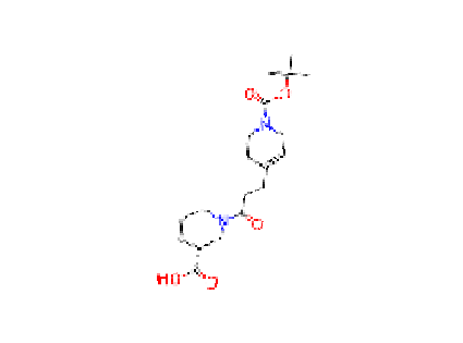 CC(C)(C)OC(=O)N1CC=C(CCC(=O)N2CCC[C@@H](C(=O)O)C2)CC1